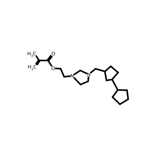 C=C(C)C(=O)OCCN1CCN(CC2CCC(C3CCCC3)C2)C1